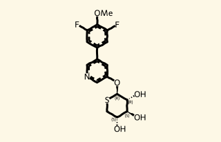 COc1c(F)cc(-c2cncc(O[C@@H]3SC[C@@H](O)[C@H](O)[C@H]3O)c2)cc1F